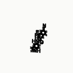 N#Cc1ccc(CNC(=O)Nc2ccc3[nH]ccc3c2)c(C(F)(F)F)c1